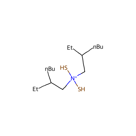 CCCCC(CC)C[N+](S)(S)CC(CC)CCCC